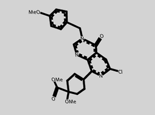 COC(=O)C1(OC)CC=C(c2nc(Cl)cc3c(=O)n(Cc4ccc(OC)cc4)cnc23)CC1